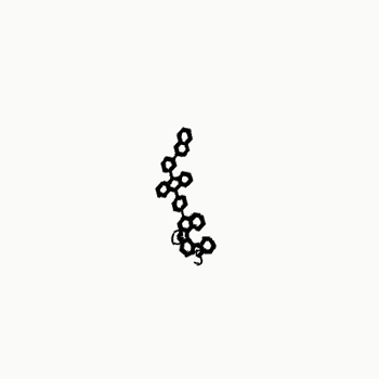 c1cc(-c2ccc3ccccc3c2)cc(-c2c3ccccc3c(-c3ccc(-c4cc5oc6ccc7sc8ccccc8c7c6c5c5ccccc45)cc3)c3ccccc23)c1